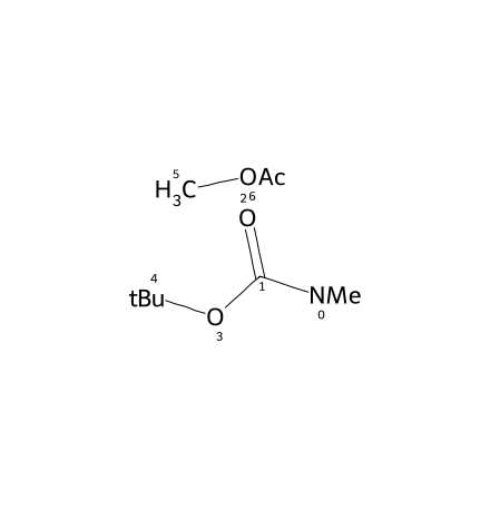 CNC(=O)OC(C)(C)C.COC(C)=O